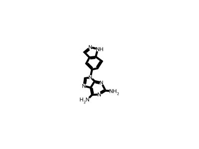 Nc1nc(N)c2ncn(-c3ccc4[nH]ncc4c3)c2n1